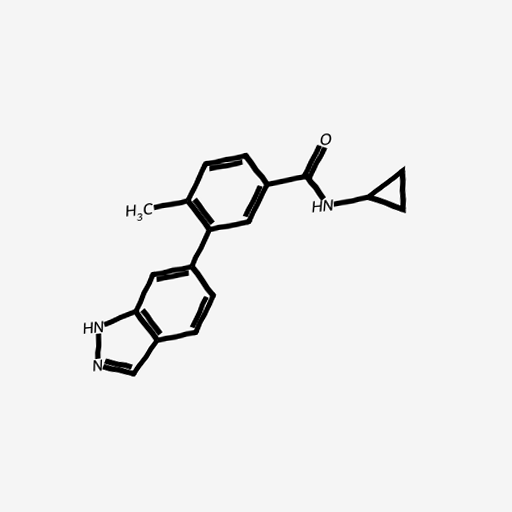 Cc1ccc(C(=O)NC2CC2)cc1-c1ccc2cn[nH]c2c1